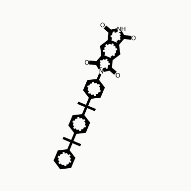 CC(C)(c1ccccc1)c1ccc(C(C)(C)c2ccc(-n3c(=O)c4cc5c(=O)[nH]c(=O)c5cc4c3=O)cc2)cc1